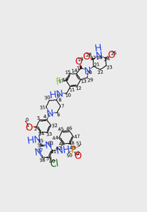 COc1cc(N2CCC(NCc3cc4c(cc3F)C(=O)N(C3CCC(=O)NC3=O)C4)CC2)ccc1Nc1ncc(Cl)c(Nc2ccccc2P(C)(C)=O)n1